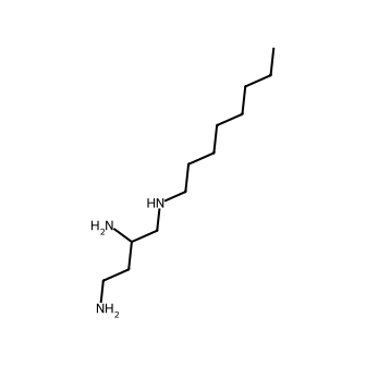 CCCCCCCCNCC(N)CCN